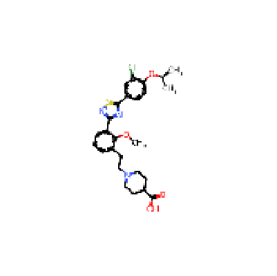 COc1c(CCN2CCC(C(=O)O)CC2)cccc1-c1nsc(-c2ccc(OC(C)C)c(Cl)c2)n1